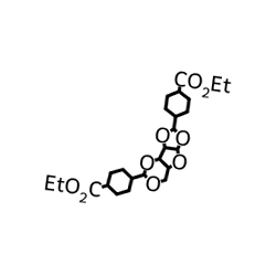 CCOC(=O)C1CCC(C2OCC3OC4OC(C5CCC(C(=O)OCC)CC5)OC4C3O2)CC1